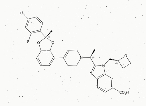 C[C@@H](c1nc2ccc(C(=O)O)cc2n1C[C@@H]1CCO1)N1CC=C(c2cccc3c2O[C@@](C)(c2ccc(Cl)cc2F)O3)CC1